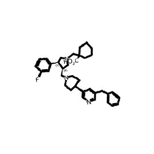 O=C(O)C1(CN2C[C@@H](CN3CCC(c4cncc(Cc5ccccc5)c4)CC3)[C@@H](c3cccc(F)c3)C2)CCCCC1